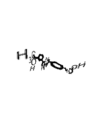 CC(O)c1cccc(-c2cnn3cc(-c4ccc(CCN5CCCC(O)C5)cc4)cnc23)c1